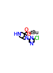 CC(C)(C)OC(=O)C12CNCC(CN(c3cncc(Cl)n3)C1)C2